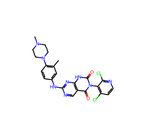 Cc1cc(Nc2ncc3c(=O)n(-c4c(Cl)ccnc4Cl)c(=O)[nH]c3n2)ccc1N1CCN(C)CC1